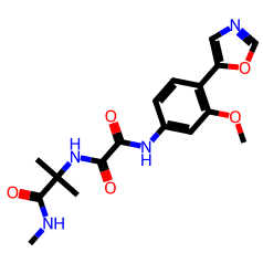 CNC(=O)C(C)(C)NC(=O)C(=O)Nc1ccc(-c2cnco2)c(OC)c1